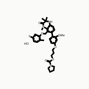 COc1cc(OCCCOC(=O)N2CCCC2)ccc1-c1ccc2c(c1COc1cc(F)ccc1C)N(C)C(=O)C(C)(C)N2.Cl